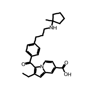 CCc1cc2cc(C(=O)O)ccn2c1C(=O)c1ccc(CCCNC2(C)CCCC2)cc1